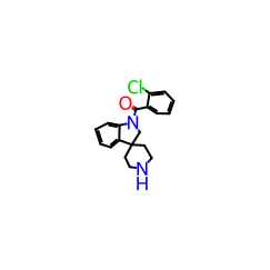 O=C(c1ccccc1Cl)N1CC2(CCNCC2)c2ccccc21